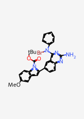 COc1ccc2c(c1)cc(-c1ccc3nc(N)nc(N(Br)c4ccccc4)c3c1)n2C(=O)OC(C)(C)C